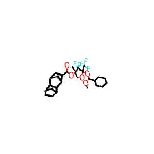 COC(OC1(C(F)(F)F)OCC(C)(OC(=O)C2CC3CC2C2C4C=CC(C4)C32)C1(F)F)C1CCCCC1